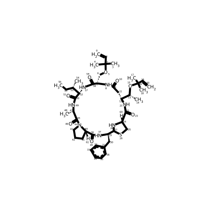 C=CC(C)(C)OC[C@@H]1NC(=O)C[C@H]([C@@H](C)OC(C)(C)C=C)NC(=O)[C@@H]2CSC(N2)[C@@H](Cc2ccccc2)NC(=O)[C@@H]2CCCN2C(=O)[C@H](C)NC(=O)[C@H]([C@@H](C)CC)NC1=O